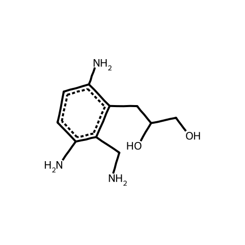 NCc1c(N)ccc(N)c1CC(O)CO